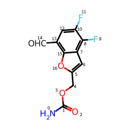 NC(=O)OCc1cc2c(F)c(F)cc(C=O)c2o1